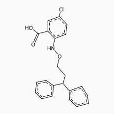 O=C(O)c1cc(Cl)ccc1NOCCC(c1ccccc1)c1ccccc1